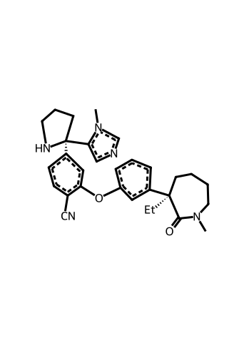 CC[C@]1(c2cccc(Oc3cc([C@@]4(c5cncn5C)CCCN4)ccc3C#N)c2)CCCCN(C)C1=O